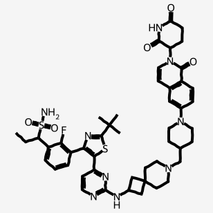 CCC(c1cccc(-c2nc(C(C)(C)C)sc2-c2ccnc(NC3CC4(CCN(CC5CCN(c6ccc7c(=O)n(C8CCC(=O)NC8=O)ccc7c6)CC5)CC4)C3)n2)c1F)S(N)(=O)=O